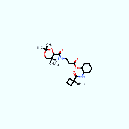 CCCCCCC1(C(=O)NC2CCCCC2OC(=O)CCNC(=O)C2OC(C)(C)OCC2(C)C)CCC1